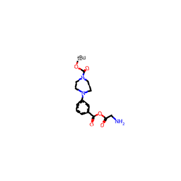 CC(C)(C)OC(=O)N1CCN(c2cccc(C(=O)OC(=O)CN)c2)CC1